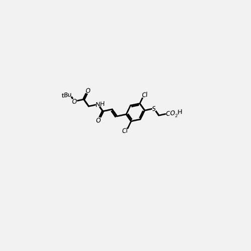 CC(C)(C)OC(=O)CNC(=O)/C=C/c1cc(Cl)c(SCC(=O)O)cc1Cl